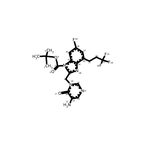 CC(C)(C)OC(=O)n1c(Cn2cncc(N)c2=O)nc2c(CCC(F)(F)F)cc(F)cc21